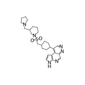 O=S(=O)(CC1CCC(c2cnnc3cnc4[nH]ccc4c23)CC1)N1CCCC(CN2CCCC2)C1